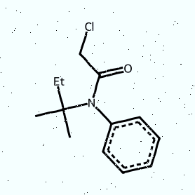 CCC(C)(C)N(C(=O)CCl)c1ccccc1